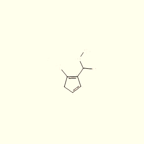 CCC(OC(C)(C)C)C1=[C]([Ti+2])CC=C1.[Cl-].[Cl-]